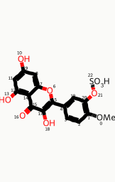 COc1ccc(-c2oc3cc(O)cc(O)c3c(=O)c2O)cc1OS(=O)(=O)O